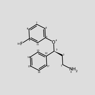 NCC[C@H](Oc1cccc(F)c1)c1ccccc1